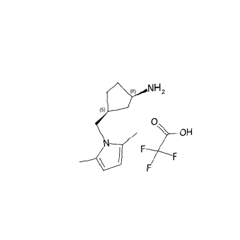 Cc1ccc(C)n1C[C@H]1CC[C@@H](N)C1.O=C(O)C(F)(F)F